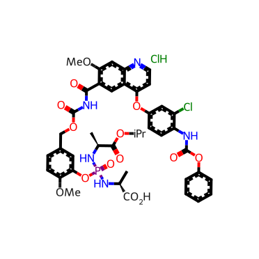 COc1ccc(COC(=O)NC(=O)c2cc3c(Oc4ccc(NC(=O)Oc5ccccc5)c(Cl)c4)ccnc3cc2OC)cc1OP(=O)(N[C@@H](C)C(=O)O)N[C@@H](C)C(=O)OC(C)C.Cl